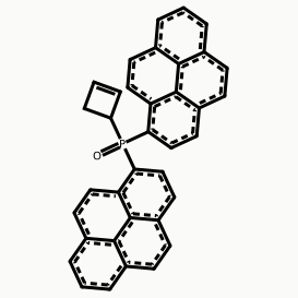 O=P(c1ccc2ccc3cccc4ccc1c2c34)(c1ccc2ccc3cccc4ccc1c2c34)C1C=CC1